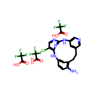 Nc1ccc2cc1CCc1cncc(c1)Nc1ncc(Cl)c(n1)N2.O=C(O)C(F)(F)F.O=C(O)C(F)(F)F.O=C(O)C(F)(F)F